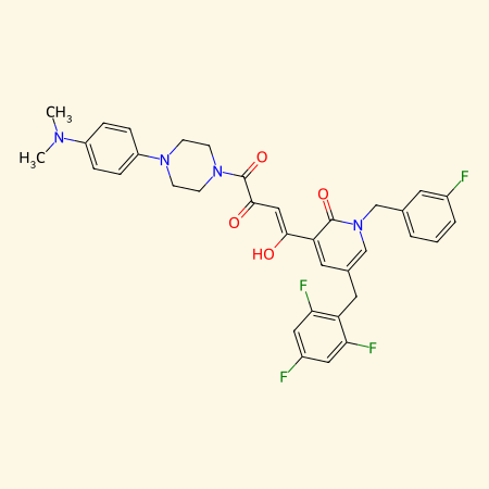 CN(C)c1ccc(N2CCN(C(=O)C(=O)C=C(O)c3cc(Cc4c(F)cc(F)cc4F)cn(Cc4cccc(F)c4)c3=O)CC2)cc1